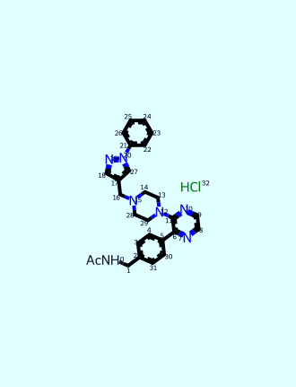 CC(=O)NCc1ccc(-c2nccnc2N2CCN(Cc3cnn(-c4ccccc4)c3)CC2)cc1.Cl